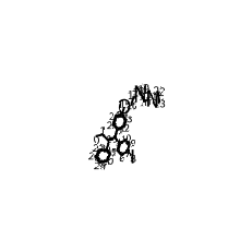 CC/C(=C(/c1ccc(I)cc1)c1ccc(OCCN(C)CN2CC2)cc1)c1ccccc1